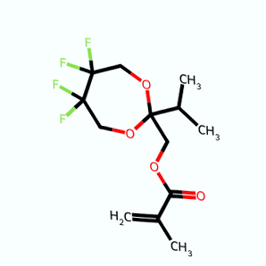 C=C(C)C(=O)OCC1(C(C)C)OCC(F)(F)C(F)(F)CO1